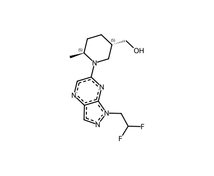 C[C@H]1CC[C@H](CO)CN1c1cnc2cnn(CC(F)F)c2n1